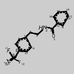 O=C(NCCc1ccc(C(F)(F)F)cc1)c1ccccc1